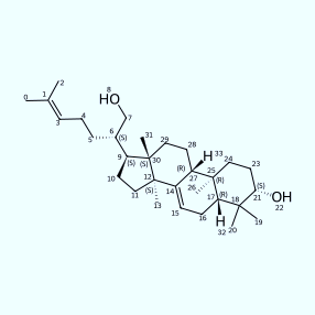 CC(C)=CCC[C@H](CO)[C@@H]1CC[C@]2(C)C3=CC[C@H]4C(C)(C)[C@@H](O)CC[C@]4(C)[C@H]3CC[C@@]12C